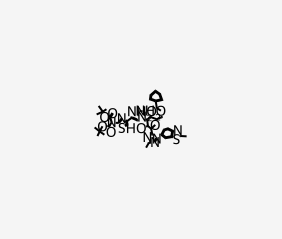 Cc1nc(C2OC3COC(c4ccccc4)OC3C(N(N)/C=C(\N)c3csc(N(C(=O)OC(C)(C)C)C(=O)OC(C)(C)C)n3)C2O)n(-c2ccc3nc(C)sc3c2)n1